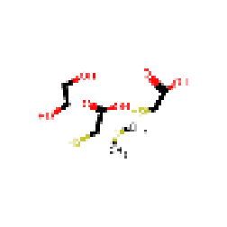 CSC.O=C(O)CS.O=C(O)CS.OCCO